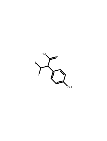 O=C(O)C(c1ccc(O)cc1)C(I)I